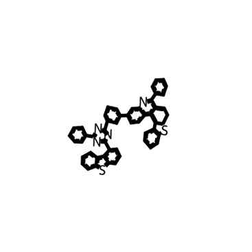 C1=c2c(-c3ccccc3)nc3cc(-c4cccc(-c5nc(-c6ccccc6)nc(-c6cccc7sc8ccccc8c67)n5)c4)ccc3c2=C2c3ccccc3SC2C1